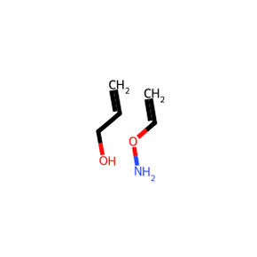 C=CCO.C=CON